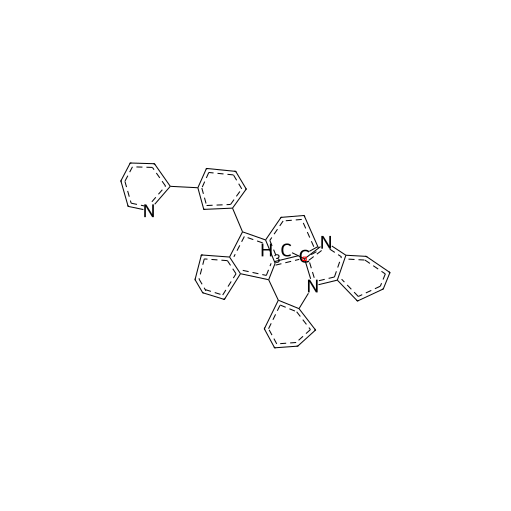 Cc1nc2ccccc2n1-c1ccccc1-c1c2ccccc2c(-c2cccc(-c3ccccn3)c2)c2ccccc12